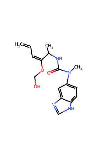 C=C/C=C(/OCO)C(C)NC(=O)N(C)c1ccc2[nH]cnc2c1